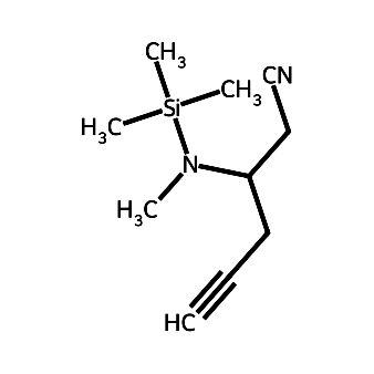 C#CCC(CC#N)N(C)[Si](C)(C)C